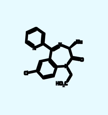 CCC(C)[C@@H]1N=C(c2ccccn2)c2cc(Cl)ccc2N(CC(=O)O)C1=O